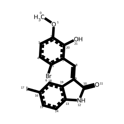 COc1ccc(Br)c(C=C2C(=O)Nc3ccc(I)cc32)c1O